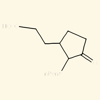 CCCCCC1C(=O)CCC1CCC(=O)O